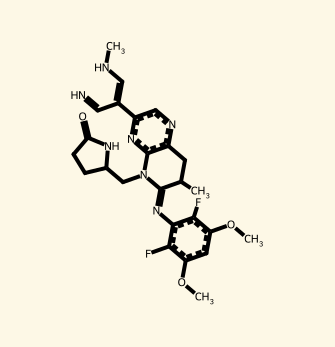 CN/C=C(\C=N)c1cnc2c(n1)N(CC1CCC(=O)N1)/C(=N/c1c(F)c(OC)cc(OC)c1F)C(C)C2